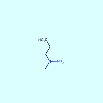 CN(N)CCC(=O)O